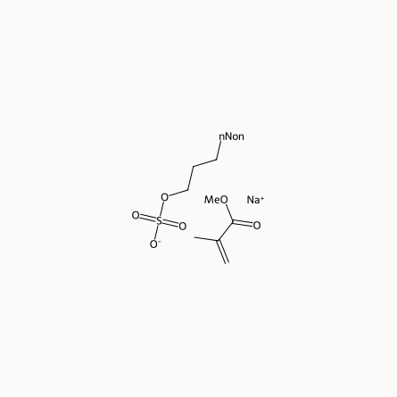 C=C(C)C(=O)OC.CCCCCCCCCCCCOS(=O)(=O)[O-].[Na+]